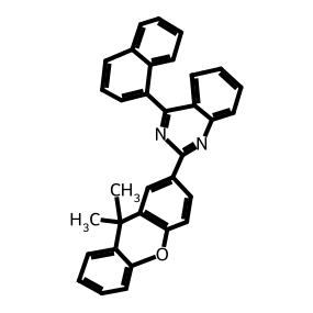 CC1(C)c2ccccc2Oc2ccc(-c3nc(-c4cccc5ccccc45)c4ccccc4n3)cc21